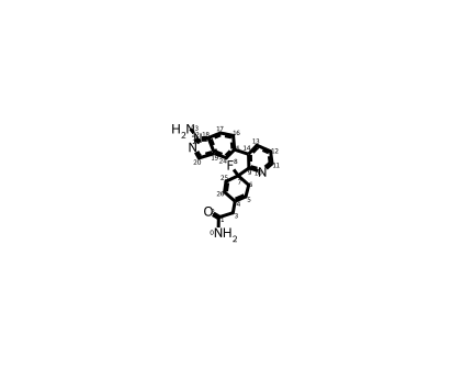 NC(=O)CC1=CCC(F)(c2ncccc2-c2ccc3c(cnn3N)c2)C=C1